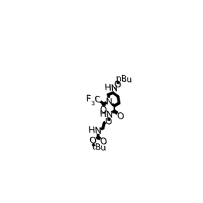 CCCCON[C@@H]1CC[C@@H](C(=O)NOCCNC(=O)OC(C)(C)C)N(C(=O)C(F)(F)F)C1